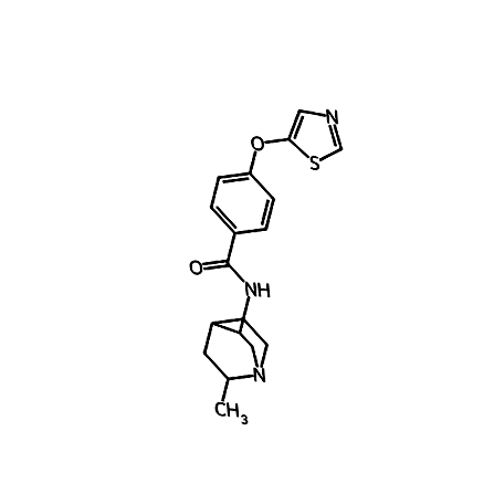 CC1CC2CCN1CC2NC(=O)c1ccc(Oc2cncs2)cc1